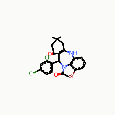 CC(=O)N1c2c(Br)cccc2NC2=C(C(=O)CC(C)(C)C2)C1c1ccc(Cl)cc1Cl